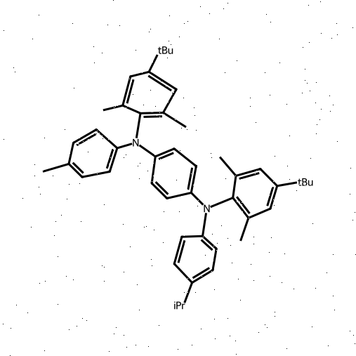 Cc1ccc(N(c2ccc(N(c3ccc(C(C)C)cc3)c3c(C)cc(C(C)(C)C)cc3C)cc2)c2c(C)cc(C(C)(C)C)cc2C)cc1